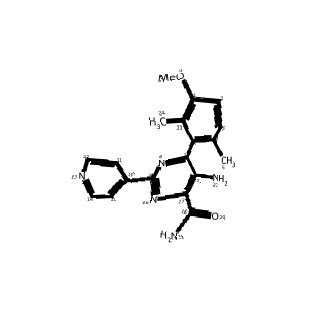 COc1ccc(C)c(-c2nc(-c3ccncc3)nc(C(N)=O)c2N)c1C